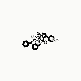 O=C(NS(=O)(=O)n1ccc(C2CCNCC2)c1C(=O)OCc1ccccc1)OCc1ccccc1